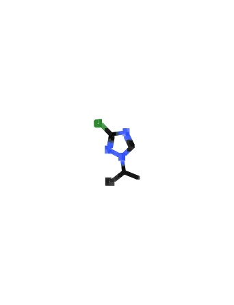 CCC(C)n1cnc(Cl)n1